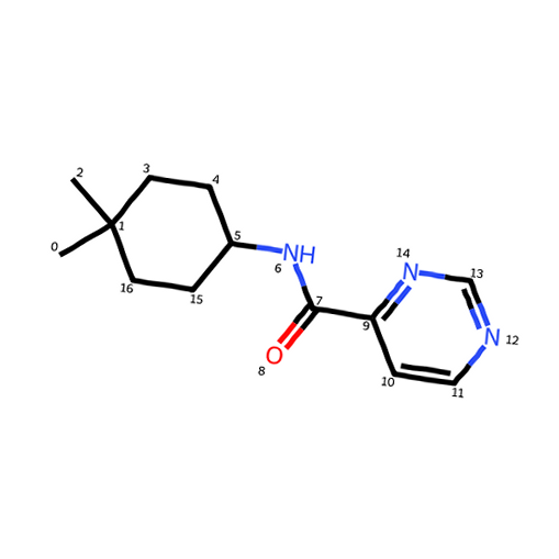 CC1(C)CCC(NC(=O)c2ccncn2)CC1